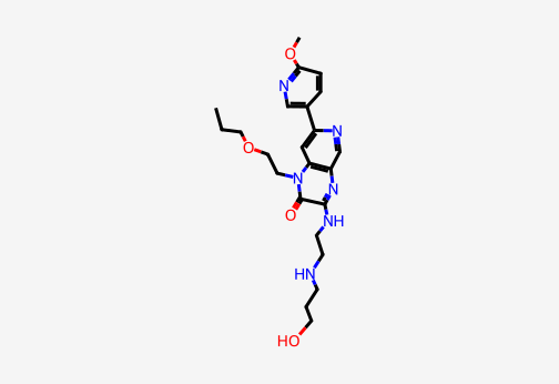 CCCOCCn1c(=O)c(NCCNCCCO)nc2cnc(-c3ccc(OC)nc3)cc21